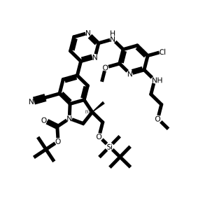 COCCNc1nc(OC)c(Nc2nccc(-c3cc(C#N)c4c(c3)[C@](C)(CO[Si](C)(C)C(C)(C)C)CN4C(=O)OC(C)(C)C)n2)cc1Cl